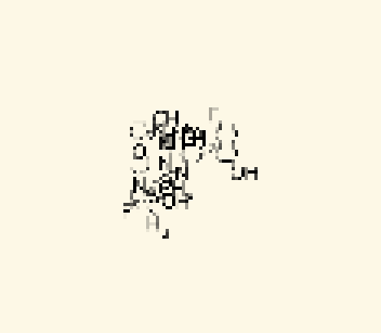 C#Cc1c(F)ccc2cc(O)cc(C3=Cc4nc(OC[C@]5(C(C)(C)O)C[C@@H](F)CN5C5CCOCC5)nc(NCC5(N(C)C(=O)C=C)CCCC5)c4CC3)c12